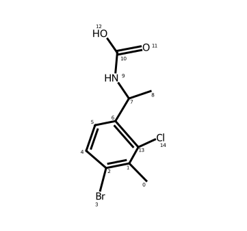 Cc1c(Br)ccc(C(C)NC(=O)O)c1Cl